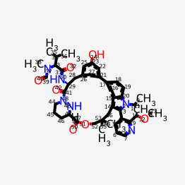 CCn1c(-c2cccnc2[C@H](C)OC)c2c3cc(ccc31)-c1cc(O)cc(c1)C[C@H](NC(=O)C(C(C)C)N(C)C=O)C(=O)N1CCC[C@H](N1)C(=O)OCC(C)(C)C2